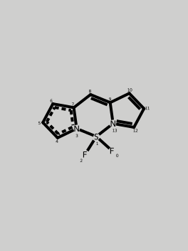 FS1(F)n2cccc2C=C2C=CC=[N+]21